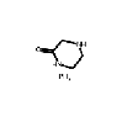 O=C1CNCCN1.P